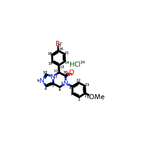 COc1ccc(N2Cc3cncn3C(c3ccc(Br)cc3)C2=O)cc1.Cl